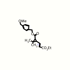 CCOC(=O)/C=C/C1C(C(=O)OCc2ccc(COC)cc2)C1(C)C